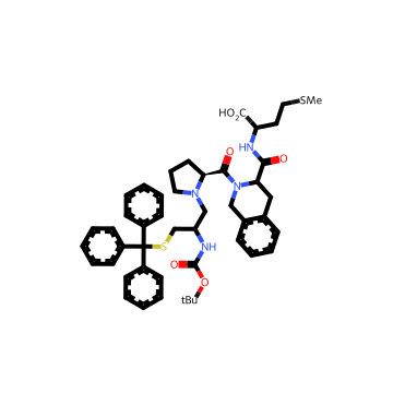 CSCCC(NC(=O)C1Cc2ccccc2CN1C(=O)[C@@H]1CCCN1CC(CSC(c1ccccc1)(c1ccccc1)c1ccccc1)NC(=O)OC(C)(C)C)C(=O)O